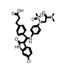 CN(C)C(=O)CN(c1ccc(NC(=C2C(=O)Nc3cc(Cl)ccc32)c2ccc(CCC(=O)O)cc2)cc1)S(C)(=O)=O